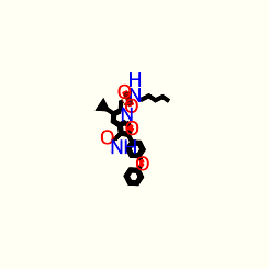 CCCCCNS(=O)(=O)Cc1nc2oc(-c3ccc(Oc4ccccc4)cc3)c(C(=O)NC)c2cc1C1CC1